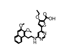 CCOc1cc(-c2cc(NCCc3c(OC)c(OC)cc4ccccc34)ncn2)sc1C(=O)O